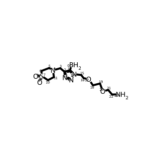 Bc1c(CN2CCS(=O)(=O)CC2)nnn1CCOCCOCCN